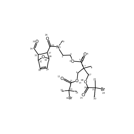 CN(CCOC(=O)C(C)(COC(=O)C(C)(C)Br)COC(=O)C(C)(C)Br)C(=O)C1C2C=CC(O2)C1C=O